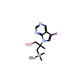 CC(CO)(C[Si](C)(C)C(C)(C)C)n1cc(I)c2cncnc21